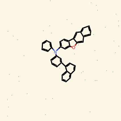 c1ccc(N(c2cccc(-c3cccc4ccccc34)c2)c2ccc3c(c2)oc2cc4ccccc4cc23)cc1